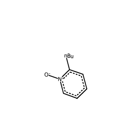 CCCCc1cccc[n+]1[O-]